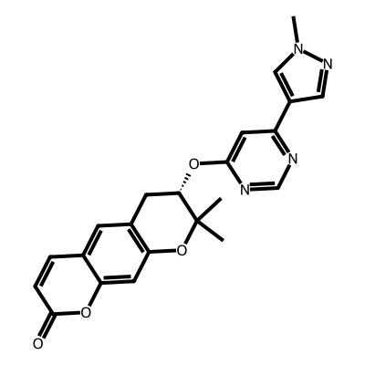 Cn1cc(-c2cc(O[C@H]3Cc4cc5ccc(=O)oc5cc4OC3(C)C)ncn2)cn1